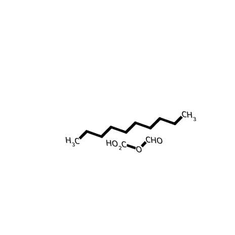 CCCCCCCCCC.O=COC(=O)O